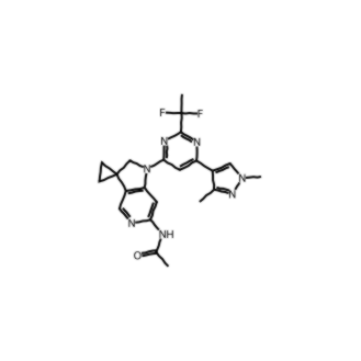 CC(=O)Nc1cc2c(cn1)C1(CC1)CN2c1cc(-c2cn(C)nc2C)nc(C(C)(F)F)n1